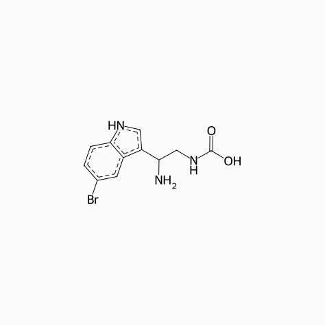 NC(CNC(=O)O)c1c[nH]c2ccc(Br)cc12